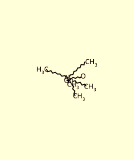 CCCCCCCCC[CH2][Al]([CH2]CCCCCCCCC)[C](CCCC=O)(C(C)=O)[Al]([CH2]CCCCC)[CH2]CCCCC